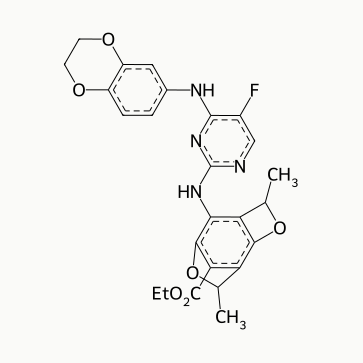 CCOC(=O)c1c2c(Nc3ncc(F)c(Nc4ccc5c(c4)OCCO5)n3)c3c(c1C(C)O2)OC3C